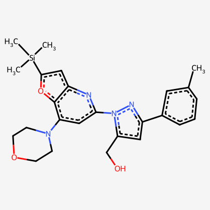 Cc1cccc(-c2cc(CO)n(-c3cc(N4CCOCC4)c4oc([Si](C)(C)C)cc4n3)n2)c1